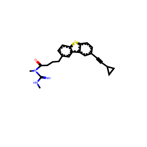 CNC(=N)N(C)C(=O)CCCc1ccc2sc3ccc(C#CC4CC4)cc3c2c1